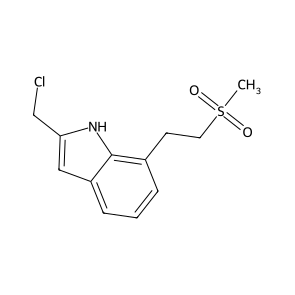 CS(=O)(=O)CCc1cccc2cc(CCl)[nH]c12